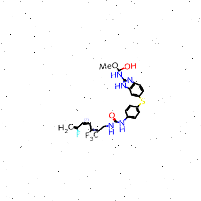 C=C(F)/C=C\C(=C/CNC(=O)Nc1ccc(Sc2ccc3nc(NC(O)OC)[nH]c3c2)cc1)C(F)(F)F